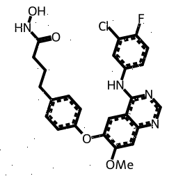 COc1cc2ncnc(Nc3ccc(F)c(Cl)c3)c2cc1Oc1ccc(CCCC(=O)NO)cc1